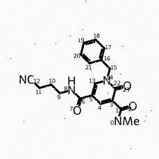 CNC(=O)c1cc(C(=O)NCCCC#N)cn(Cc2ccccc2)c1=O